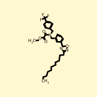 CCCCCCCCCCCc1noc(-c2cccc(CN(Cc3ccc(C(F)(F)F)cc3)C(=O)C(=O)OCC)c2)n1